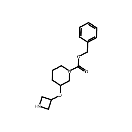 O=C(OCc1ccccc1)N1CCCC(OC2CNC2)C1